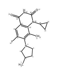 Cc1c(N2CCC(C)C2)c(F)cc2c(=O)[nH]c(=O)n(C3CC3)c12